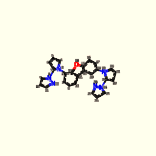 c1cc(-n2cccc2-n2cccn2)c2oc3ccc(-n4cccc4-n4cccn4)cc3c2c1